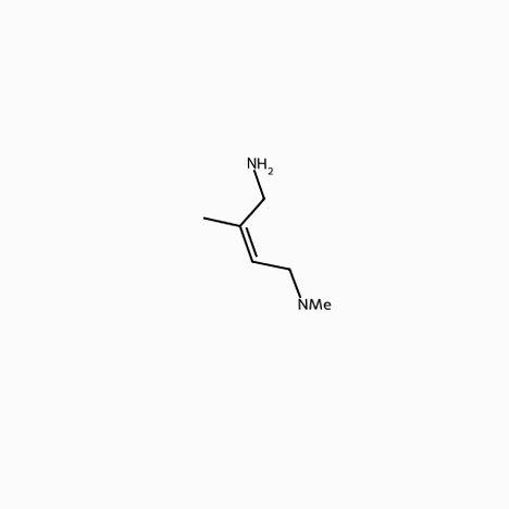 CNC/C=C(/C)CN